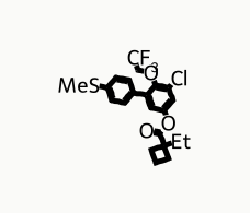 CCC1(C(=O)Oc2cc(Cl)c(OCC(F)(F)F)c(-c3ccc(SC)cc3)c2)CCC1